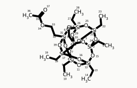 CC[Si]12O[Si]3(CC)O[Si]4(CC)O[Si](CC)(O1)O[Si]1(CC)O[Si](CC)(O2)O[Si](CC)(O3)O[Si](CCOC(C)=O)(O4)O1